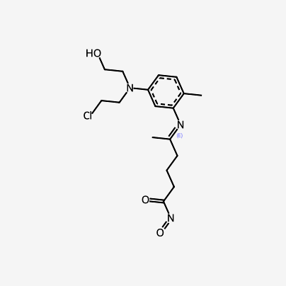 C/C(CCCC(=O)N=O)=N\c1cc(N(CCO)CCCl)ccc1C